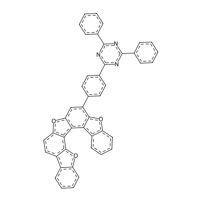 c1ccc(-c2nc(-c3ccccc3)nc(-c3ccc(-c4cc5oc6ccc7c8ccccc8oc7c6c5c5c4oc4ccccc45)cc3)n2)cc1